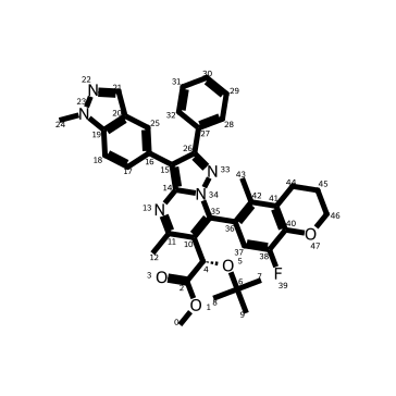 COC(=O)[C@@H](OC(C)(C)C)c1c(C)nc2c(-c3ccc4c(cnn4C)c3)c(-c3ccccc3)nn2c1-c1cc(F)c2c(c1C)CCCO2